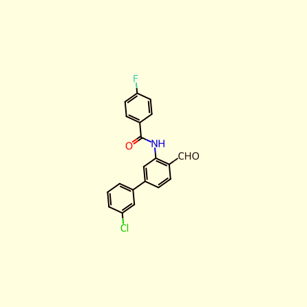 O=Cc1ccc(-c2cccc(Cl)c2)cc1NC(=O)c1ccc(F)cc1